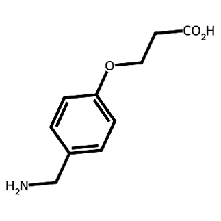 NCc1ccc(OCCC(=O)O)cc1